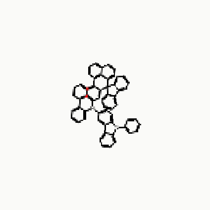 c1ccc(-c2ccccc2N(c2ccc3c(c2)C2(c4ccccc4-c4ccccc42)c2cccc4cccc-3c24)c2ccc3c(c2)c2ccccc2n3-c2ccccc2)cc1